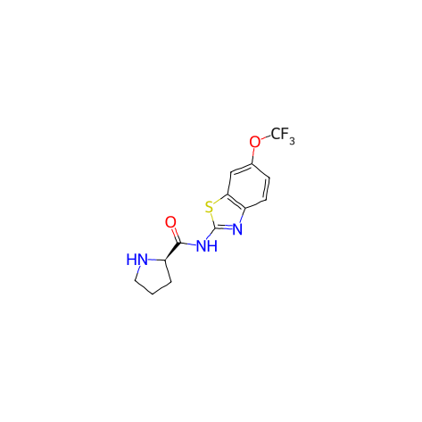 O=C(Nc1nc2ccc(OC(F)(F)F)cc2s1)[C@H]1CCCN1